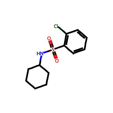 O=S(=O)(NC1CCCCC1)c1[c]cccc1Cl